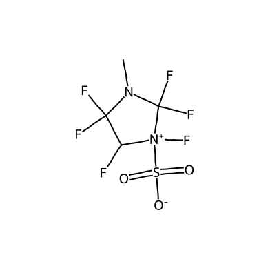 CN1C(F)(F)C(F)[N+](F)(S(=O)(=O)[O-])C1(F)F